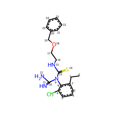 CCc1cccc(Cl)c1N(C(=N)N)C(=S)NCCOCc1ccccc1